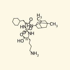 CC12CC3CC(C)(C1)CC(NC(=O)[C@H](CC1CCCCC1)NS(=O)(=O)N[C@@H](CCCCN)C(=O)O)(C3)C2